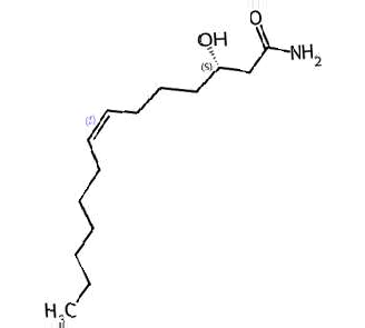 CCCCCC/C=C\CCC[C@H](O)CC(N)=O